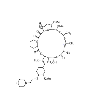 CCC1/C=C(\C)CC(C)CC(OC)C2OC(O)(C(=O)C(=O)N3CCCCC3C(=O)OC(C(C)=CC3CCC(OCCN4CCOCC4)C(OC)C3)C(C)C(O)CC1=O)C(C)CC2OC